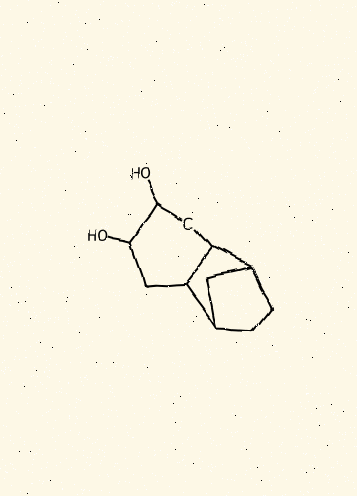 OC1CC2C3CCC(C3)C2CC1O